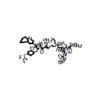 CC(C)(C)OC(=O)/N=C(\NCC[N+](C)(CCN)CCC[C@H](N)C(=O)N[C@@H](Cc1ccc(C(F)(F)F)cc1)C(=O)Nc1cnc2ccccc2c1)NC(=O)OC(C)(C)C